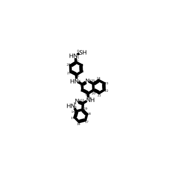 SNc1ccc(Nc2cc(Nc3n[nH]c4ccccc34)c3ccccc3n2)cc1